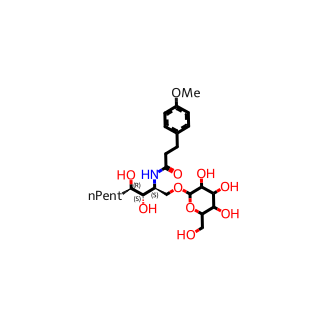 CCCCC[C@@H](O)[C@@H](O)[C@H](COC1OC(CO)C(O)C(O)C1O)NC(=O)CCc1ccc(OC)cc1